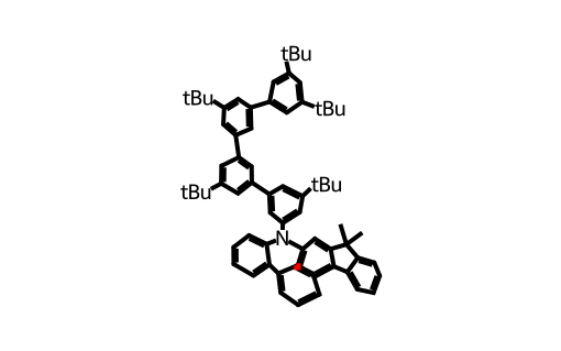 CC(C)(C)c1cc(-c2cc(-c3cc(C(C)(C)C)cc(C(C)(C)C)c3)cc(C(C)(C)C)c2)cc(-c2cc(N(c3ccc4c(c3)C(C)(C)c3ccccc3-4)c3ccccc3-c3ccccc3)cc(C(C)(C)C)c2)c1